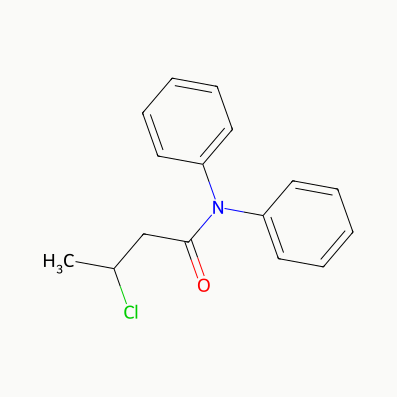 CC(Cl)CC(=O)N(c1ccccc1)c1ccccc1